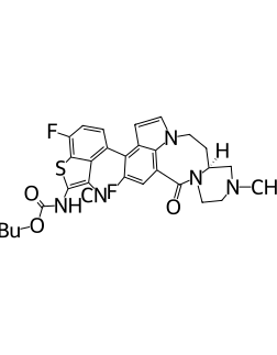 CN1CCN2C(=O)c3cc(F)c(-c4ccc(F)c5sc(NC(=O)OC(C)(C)C)c(C#N)c45)c4ccn(c34)CC[C@H]2C1